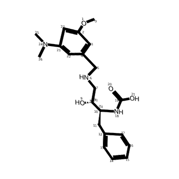 COc1cc(CNC[C@@H](O)[C@H](Cc2ccccc2)NC(=O)O)cc(N(C)C)c1